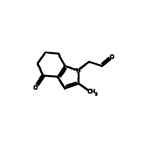 Cc1cc2c(n1CC=O)CCCC2=O